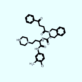 Cc1cc(NC(=O)C(CCN2CCNCC2)NC(=O)[C@@H]2Cc3ccccc3CN2C(=O)CCC(=O)c2ccccc2)ccc1Cl